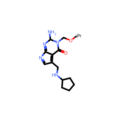 CC(C)OCN1C(=O)C2=C(CNC3CCCC3)C=NC2=NC1N